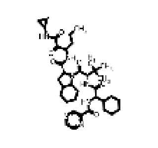 CCCC(NC(=O)[C@@H]1CC2CCCCC2N1C(=O)[C@@H](NC(=O)C(NC(=O)c1cnccn1)C1CCCCC1)C(C)(C)C)C(=O)C(=O)NC1CC1